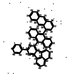 c1ccc(-c2nc(-c3c4ccccc4c(-c4cccc5cc6ccccc6cc45)c4ccccc34)c3c(n2)-c2cccc4cccc-3c24)cc1